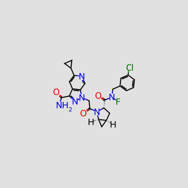 NC(=O)c1nn(CC(=O)N2[C@@H]3C[C@@H]3C[C@H]2C(=O)N(F)Cc2cccc(Cl)c2)c2cnc(C3CC3)cc12